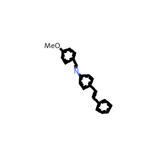 COc1ccc(/C=N/c2ccc(/C=C/c3ccccc3)cc2)cc1